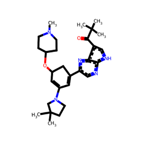 CN1CCC(OC2C=C(N3CCC(C)(C)C3)C=C(c3cnc4[nH]cc(C(=O)C(C)(C)C)c4n3)C2)CC1